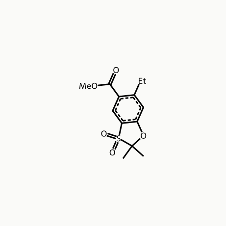 CCc1cc2c(cc1C(=O)OC)S(=O)(=O)C(C)(C)O2